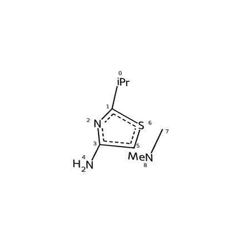 CC(C)c1nc(N)cs1.CNC